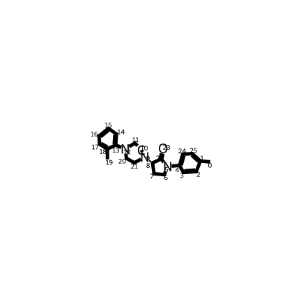 Cc1ccc(N2CC[C@H](N3CCN(c4ccccc4C)CC3)C2=O)cc1